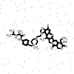 CC[C@@]1(O)C(=O)OCc2c1cc1n(c2=O)Cc2c-1nc1cc(F)c3c(c1c2C)N(CCN1CC[N+](C)(Cc2ccc(NC(=O)[C@H](C)NC(C)C)cc2)CC1)CO3